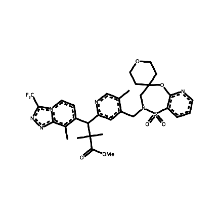 COC(=O)C(C)(C)C(c1cc(CN2CC3(CCOCC3)Oc3ncccc3S2(=O)=O)c(C)cn1)c1ccn2c(C(F)(F)F)nnc2c1C